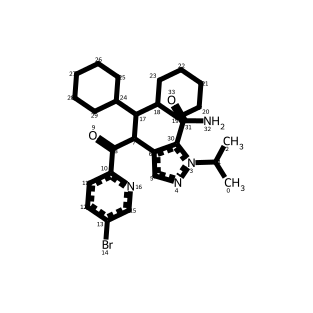 CC(C)n1ncc(C(C(=O)c2ccc(Br)cn2)C(C2CCCCC2)C2CCCCC2)c1C(N)=O